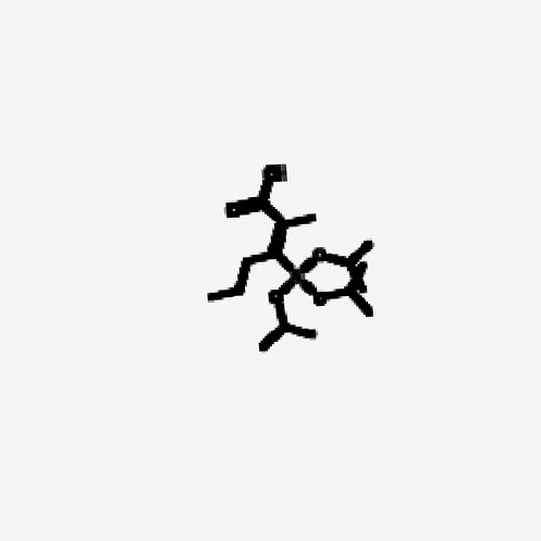 CCC/C(=C(/C)C(=O)O)[Si](OC(C)C)(OC(C)C)OC(C)C